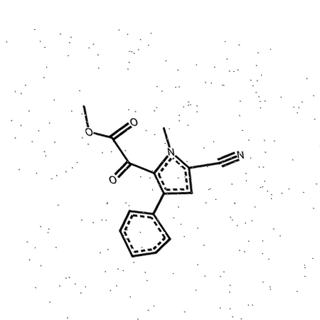 COC(=O)C(=O)c1c(-c2ccccc2)cc(C#N)n1C